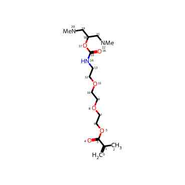 C=C(C)C(=O)OCCOCCOCCNC(=O)OC(CNC)CNC